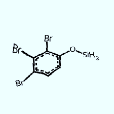 [SiH3]Oc1ccc(Br)c(Br)c1Br